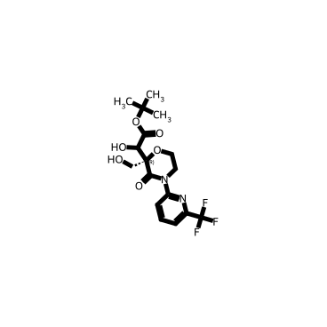 CC(C)(C)OC(=O)C(O)[C@@]1(CO)OCCN(c2cccc(C(F)(F)F)n2)C1=O